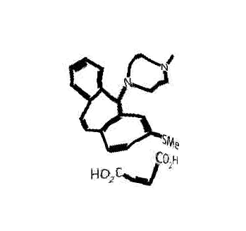 CSc1ccc2c(c1)C(N1CCN(C)CC1)c1ccccc1C=C2.O=C(O)/C=C\C(=O)O